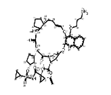 C=C[C@@H]1C[C@]1(NC(=O)[C@@H]1CC2CN1C(=O)[C@H](C1CCCC1)NC(=O)O[C@@H]1CCC[C@H]1CC/C=C/Cc1c(nc3ccccc3c1OCCCN)O2)C(=O)NS(=O)(=O)C1CC1